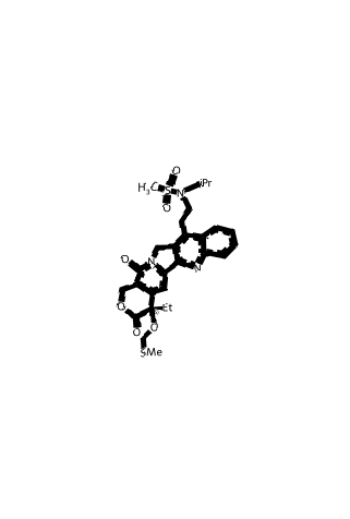 CC[C@@]1(OCSC)C(=O)OCc2c1cc1n(c2=O)Cc2c-1nc1ccccc1c2CCN(C(C)C)S(C)(=O)=O